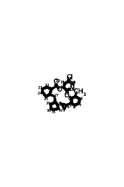 Cc1cccc(C2CC2)c1Oc1nnc(Cl)cc1OC(=O)c1ccccc1Cc1ccccc1